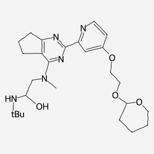 CN(CC(O)NC(C)(C)C)c1nc(-c2cc(OCCOC3CCCCO3)ccn2)nc2c1CCC2